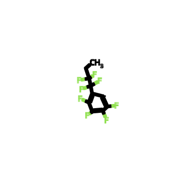 CCC(F)(F)C(F)(F)c1[c]c(F)c(F)c(F)c1F